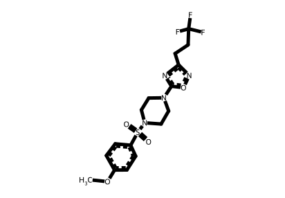 COc1ccc(S(=O)(=O)N2CCN(c3nc(CCC(F)(F)F)no3)CC2)cc1